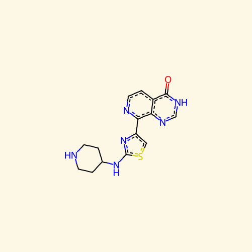 O=c1[nH]cnc2c(-c3csc(NC4CCNCC4)n3)nccc12